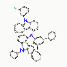 Fc1cccc(-n2c3ccccc3c3c(N(c4cc(-c5ccccc5)cc(-c5ccccc5)c4)c4cccc5c4c4ccccc4n5-c4ccccc4)cccc32)c1